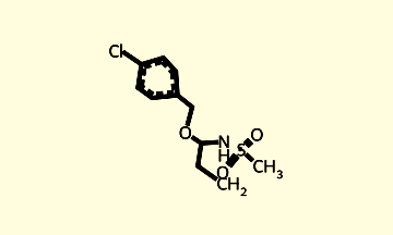 [CH2]CC(NS(C)(=O)=O)OCc1ccc(Cl)cc1